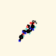 COC(=O)c1cc(F)c2nc(Cc3cc(F)c(-c4ccnc(OCc5ccc(C#N)cc5F)n4)cc3F)n(C[C@@H]3CCO3)c2c1